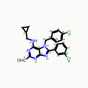 O=Cc1nc(NCC2CC2)c2c(n1)nc(-c1cccc(Cl)c1)n2Cc1ccc(Cl)cc1